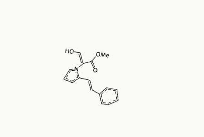 COC(=O)/C(=C/O)n1cccc1/C=C/c1ccccc1